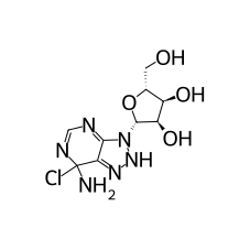 NC1(Cl)N=CN=C2C1=NNN2[C@@H]1O[C@H](CO)[C@@H](O)[C@H]1O